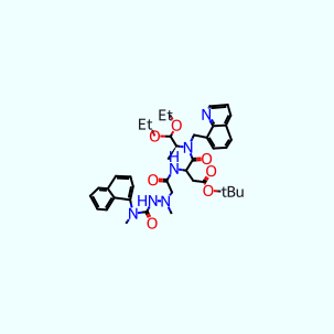 CCOC(OCC)[C@H](C)N(Cc1cccc2cccnc12)C(=O)C(CC(=O)OC(C)(C)C)NC(=O)CN(C)NC(=O)N(C)c1cccc2ccccc12